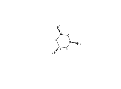 F[C@H]1C[C@@H](F)C[C@@H](F)C1